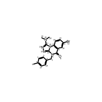 Cc1ccc(Cn2c(=O)c3cc(Br)ccc3n3c(N(C)C)nnc23)cc1